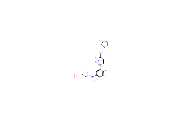 Cc1c(F)cc(C(=O)NCCO)cc1-c1ccc(C(=O)NC2CCCC2)nn1